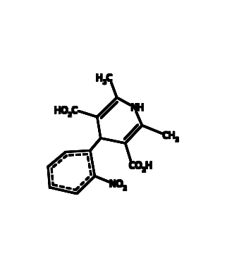 CC1=C(C(=O)O)C(c2ccccc2[N+](=O)[O-])C(C(=O)O)=C(C)N1